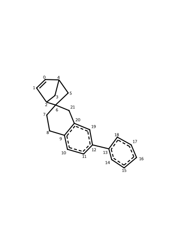 C1=CC2CC1CC21CCc2ccc(-c3ccccc3)cc2C1